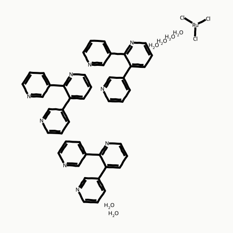 O.O.O.O.O.O.[Cl][Ru]([Cl])[Cl].c1cncc(-c2cccnc2-c2cccnc2)c1.c1cncc(-c2cccnc2-c2cccnc2)c1.c1cncc(-c2cccnc2-c2cccnc2)c1